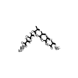 C=C(C)C(=O)[O-].C=C(C)C(=O)[O-].C=C(C)C(=O)[O-].C=C(C)C(=O)[O-].C=C(C)C(=O)[O-].C=C(C)C(=O)[O-].[Na+].[Na+].[Na+].[Na+].[Na+].[Na+]